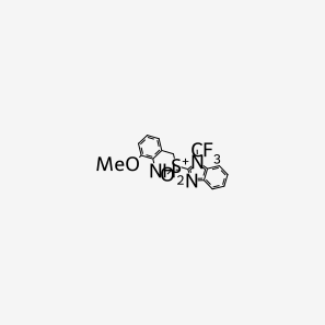 COc1cccc(C[S+]([O-])c2nc3ccccc3n2C(F)(F)F)c1N